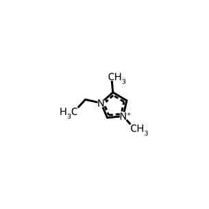 CCn1c[n+](C)cc1C